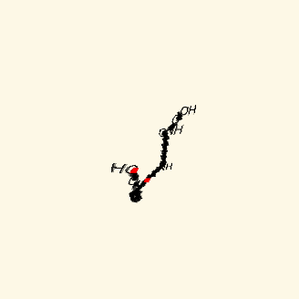 O=C(CCCCCCCCCCNCCCCCCCCN(CCOCCCO)c1ccccc1)NCCOCCO